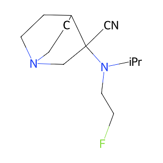 CC(C)N(CCF)C1(C#N)CN2CCC1CC2